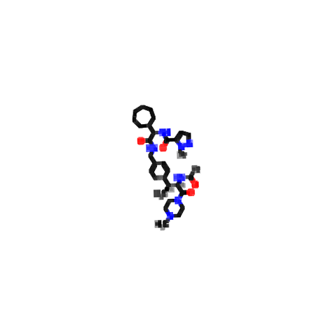 CCC(=O)N[C@@H](C(=O)N1CCN(C)CC1)[C@@H](C)c1ccc(CNC(=O)C(NC(=O)c2ccnn2C(C)C)C2CCCCCC2)cc1